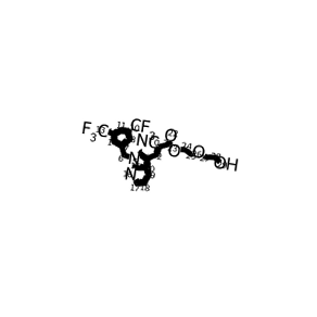 N#C/C(=C\c1cn(Cc2cc(C(F)(F)F)cc(C(F)(F)F)c2)c2ncccc12)C(=O)OCCOCCO